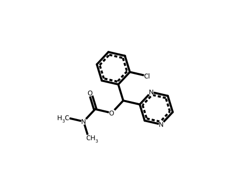 CN(C)C(=O)OC(c1cnccn1)c1ccccc1Cl